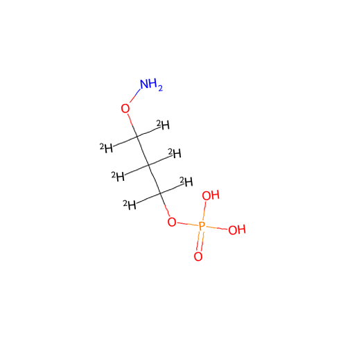 [2H]C([2H])(ON)C([2H])([2H])C([2H])([2H])OP(=O)(O)O